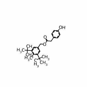 Cc1c(C(C)(C)C)cc(COC(=O)Cc2ccc(O)cc2)cc1C(C)(C)C